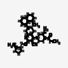 C=CC(=O)N1CCN(c2c(C#N)c(OC[C@@H]3CCCN3C)nc3c2CCN(c2cccc4cccc(C)c24)C3)CC1C